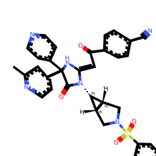 Cc1cc(C2(c3ccncc3)NC(=CC(=O)c3ccc(C#N)cc3)N([C@@H]3[C@@H]4CN(S(=O)(=O)c5ccccc5)C[C@@H]43)C2=O)ccn1